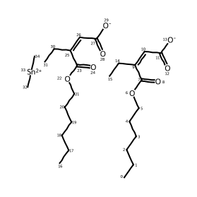 CCCCCCOC(=O)/C(=C\C(=O)[O-])CC.CCCCCCOC(=O)/C(=C\C(=O)[O-])CC.[CH3][Sn+2][CH3]